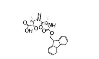 C[C@H](NC(=O)OCC1c2ccccc2-c2ccccc21)C(=O)N[C@@H](C)C(=O)C(=O)O